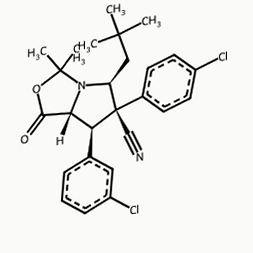 CC(C)(C)C[C@@H]1N2[C@@H](C(=O)OC2(C)C)[C@H](c2cccc(Cl)c2)[C@@]1(C#N)c1ccc(Cl)cc1